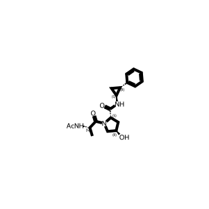 CC(=O)N[C@@H](C)C(=O)N1C[C@H](O)C[C@H]1C(=O)N[C@H]1C[C@@H]1c1ccccc1